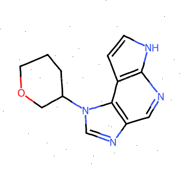 c1cc2c(ncc3ncn(C4CCCOC4)c32)[nH]1